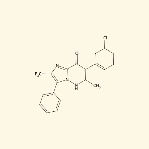 Cc1[nH]n2c(-c3ccccc3)c(C(F)(F)F)nc2c(=O)c1C1=CC=CC(Cl)C1